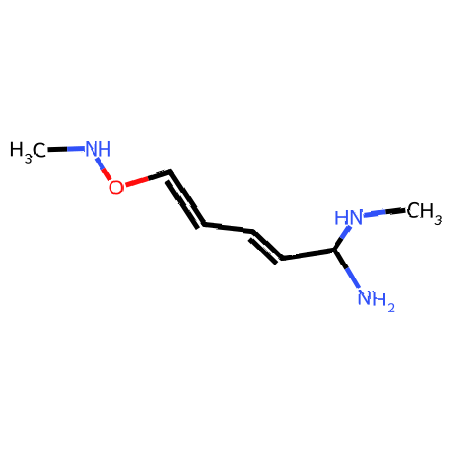 CNO/C=C/C=C/C(N)NC